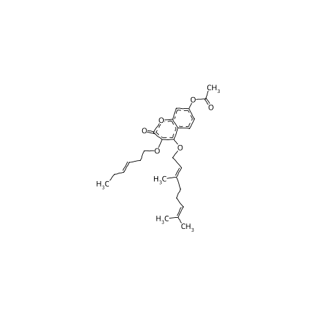 CC/C=C/CCOc1c(OC/C=C(\C)CCC=C(C)C)c2ccc(OC(C)=O)cc2oc1=O